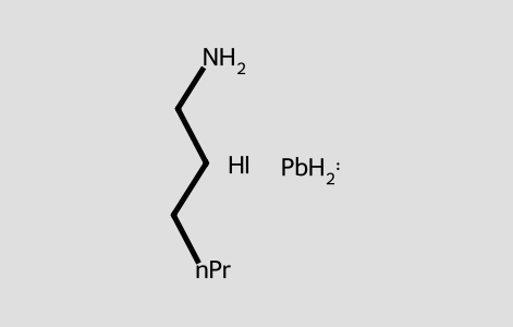 CCCCCCN.I.[PbH2]